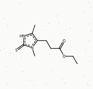 CCOC(=O)CCc1c(C)[nH]c(=S)n1C